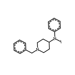 IN(c1ccccc1)C1CCN(Cc2ccccc2)CC1